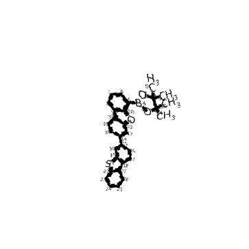 CC1(C)OB(c2cccc3c2oc2cc(-c4ccc5c(c4)sc4ccccc45)ccc23)OC1(C)C